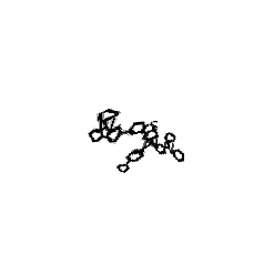 c1ccc(-c2ccc(N(c3cccc(N(c4ccccc4)c4ccccc4)c3)c3ccc4sc5ccc(-c6ccc7c8ccccc8n(-c8ccccc8)c7c6)cc5c4c3)cc2)cc1